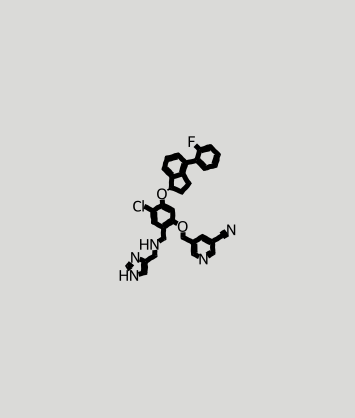 N#Cc1cncc(COc2cc(O[C@H]3CCc4c(-c5ccccc5F)cccc43)c(Cl)cc2CNCc2c[nH]cn2)c1